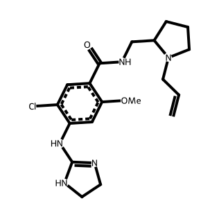 C=CCN1CCCC1CNC(=O)c1cc(Cl)c(NC2=NCCN2)cc1OC